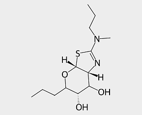 CCCC1O[C@@H]2SC(N(C)CCC)=N[C@@H]2C(O)[C@@H]1O